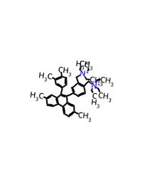 CC[N+](CC)(CC)Cc1ccc(-c2c(-c3ccc(C)c(C)c3)c3cc(C)ccc3c3ccc(C)cc23)cc1C[N+](CC)(CC)CC